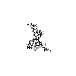 C[C@H]1CCCN(Cc2cc3c(c(C(F)(F)F)c2)CN(c2cc(C4(Cc5nncn5C)COC4)cc(NCCN)n2)C3=O)C1